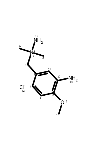 COc1ccc(C[N+](C)(C)N)cc1N.[Cl-]